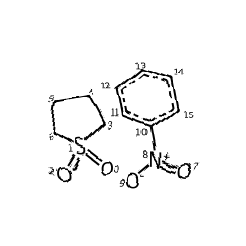 O=S1(=O)CCCC1.O=[N+]([O-])c1ccccc1